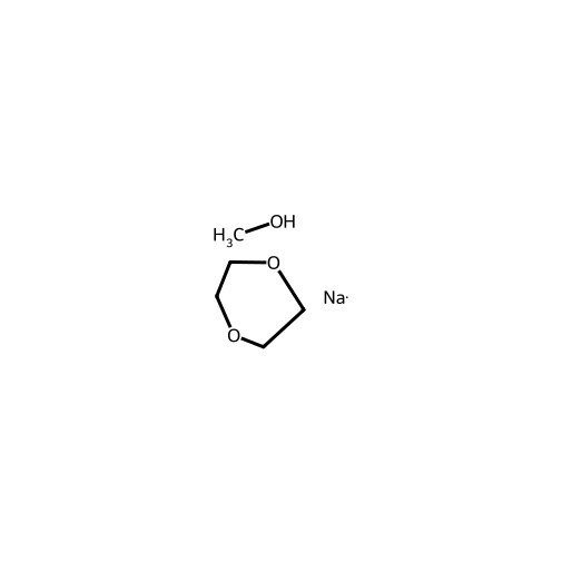 C1COCCO1.CO.[Na]